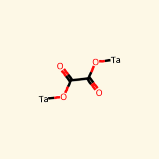 O=C([O][Ta])C(=O)[O][Ta]